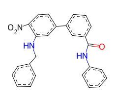 O=C(Nc1ccccc1)c1cccc(-c2ccc([N+](=O)[O-])c(NCc3ccccc3)c2)c1